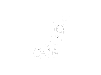 COC(=O)c1cnc(N2CCC3(CC2)O[C@@H]2CC[C@@H](c4ccccc4)N2C3=O)nc1C